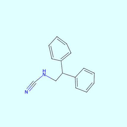 N#CNCC(c1ccccc1)c1ccccc1